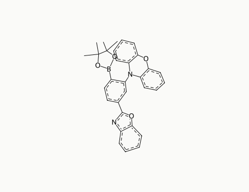 CC1(C)OB(c2ccc(-c3nc4ccccc4o3)cc2N2c3ccccc3Oc3ccccc32)OC1(C)C